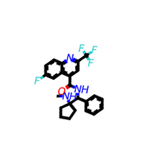 CNC1(C(NC(=O)c2cc(C(F)(F)F)nc3ccc(F)cc23)c2ccccc2)CCCC1